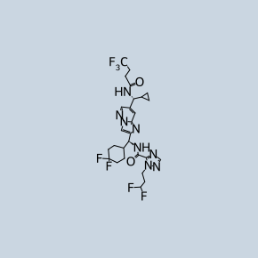 O=C(CCC(F)(F)F)N[C@@H](c1cnn2cc([C@@H](NC(=O)c3ncnn3CCC(F)F)C3CCC(F)(F)CC3)nc2c1)C1CC1